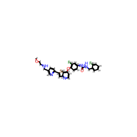 COCCNCc1ccc(-c2cc3nccc(Oc4ccc(NC(=O)NCc5ccccc5F)cc4F)c3s2)nc1